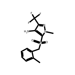 Cc1ccccc1CS(=O)(=O)c1c(N)c(C(F)(F)F)nn1C